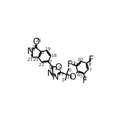 CC(C)(Oc1c(F)cc(F)cc1F)c1nnc(-c2ccc3c(c2)C=NC3=O)o1